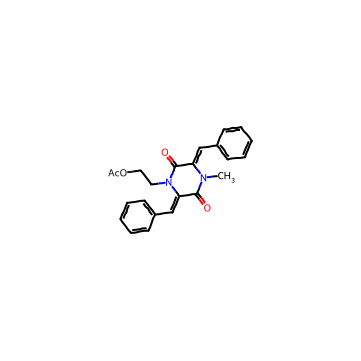 CC(=O)OCCn1c(=O)/c(=C/c2ccccc2)n(C)c(=O)/c1=C/c1ccccc1